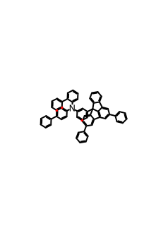 c1ccc(-c2ccc(N(c3cccc(C45c6ccccc6-c6cc(-c7ccccc7)cc(c64)-c4cc(-c6ccccc6)ccc45)c3)c3ccccc3-c3ccccc3)cc2)cc1